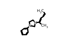 C/C=C\C=C(/C)N1CCN(c2ccccc2)C1